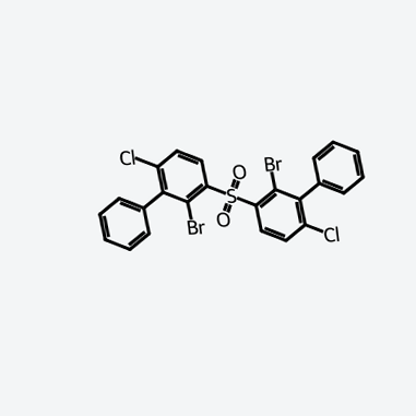 O=S(=O)(c1ccc(Cl)c(-c2ccccc2)c1Br)c1ccc(Cl)c(-c2ccccc2)c1Br